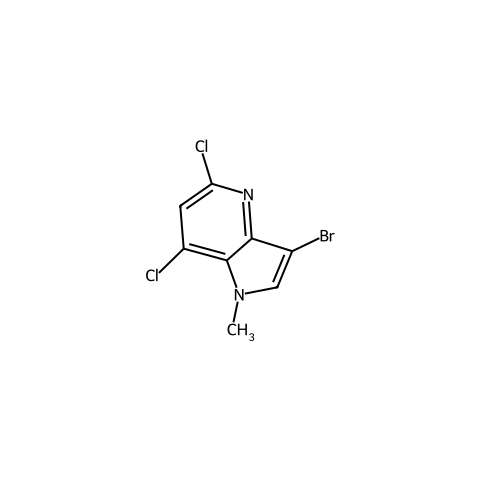 Cn1cc(Br)c2nc(Cl)cc(Cl)c21